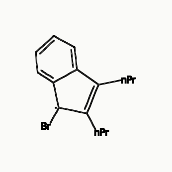 CCCC1=C(CCC)c2ccccc2[C]1Br